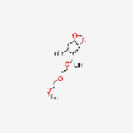 CCCCOCCOCCOCc1cc2c(cc1CCC)OCO2.[LiH]